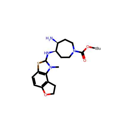 CN1c2c(ccc3c2CCO3)SC1N[C@@H]1CCN(C(=O)OC(C)(C)C)CC[C@@H]1N